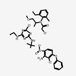 CCNc1nc(Cl)nc(NC(C)(C)C)n1.CCc1cccc(C)c1N(C(=O)CCl)C(C)COC.Nc1c([N+](=O)[O-])ccc(Oc2ccccc2)c1Cl